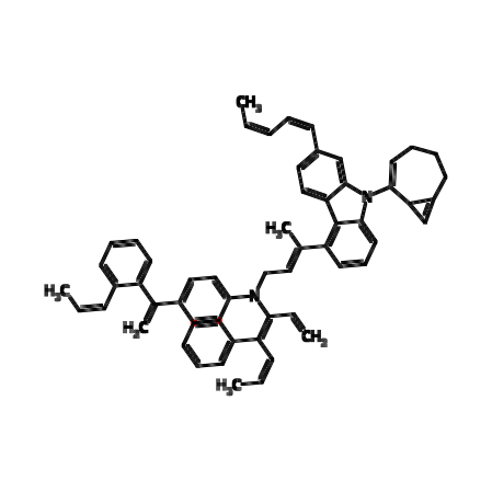 C=C/C(=C(\C=C/C)c1ccccc1)N(C/C=C(\C)c1cccc2c1c1ccc(/C=C\C=C/C)cc1n2C1=CCCCC2=CC21)c1ccc(C(=C)c2ccccc2/C=C\C)cc1